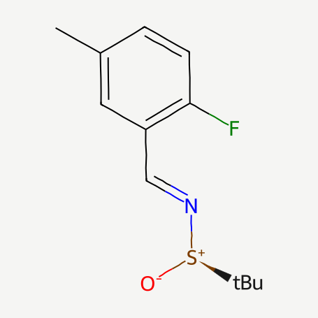 Cc1ccc(F)c(/C=N/[S@+]([O-])C(C)(C)C)c1